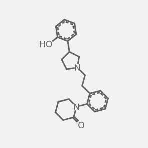 O=C1CCCCN1c1ccccc1CCN1CCC(c2ccccc2O)C1